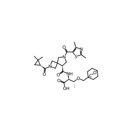 Cc1nc(C)c(C(=O)N2C[C@@H](C(=O)N[C@H](C(=O)O)[C@@H](C)OCC34CCC(CC3)OC4)C3(C2)CN(C(=O)[C@H]2CC2(C)C)C3)s1